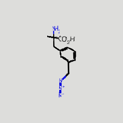 CC(N)(Cc1cccc(CN=[N+]=[N-])c1)C(=O)O